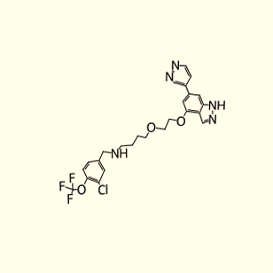 FC(F)(F)Oc1ccc(CNCCCCOCCOc2cc(-c3ccnnc3)cc3[nH]ncc23)cc1Cl